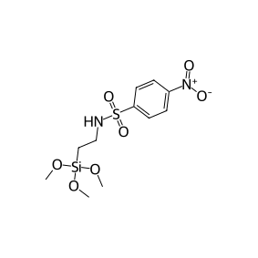 CO[Si](CCNS(=O)(=O)c1ccc([N+](=O)[O-])cc1)(OC)OC